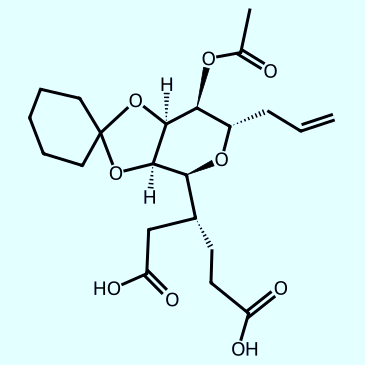 C=CC[C@@H]1O[C@@H]([C@H](CCC(=O)O)CC(=O)O)[C@H]2OC3(CCCCC3)O[C@H]2[C@H]1OC(C)=O